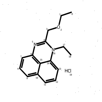 CCOCC1=Nc2cccc3cccc(c23)N1CC.Cl